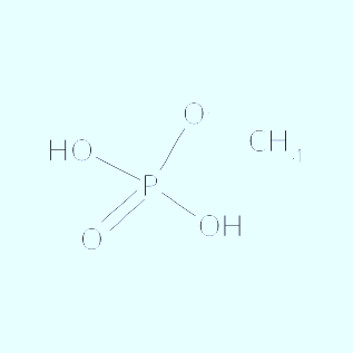 C.[O]P(=O)(O)O